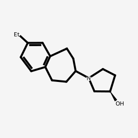 CCc1ccc2c(c1)CCC(N1CC[C@@H](O)C1)CC2